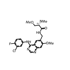 CN[C@@H](COC)C(=O)NCc1cc2c(Nc3ccc(F)c(Cl)c3)ncnc2cc1OC